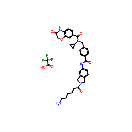 NCCCCCC(=O)N1Cc2ccc(NC(=O)c3ccc(CN(C(=O)c4ccc5c(c4)OCC(=O)N5)C4CC4)cc3)cc2C1.O=C(O)C(F)(F)F